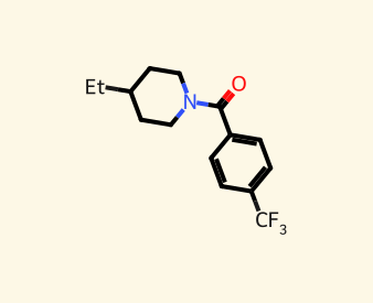 CCC1CCN(C(=O)c2ccc(C(F)(F)F)cc2)CC1